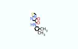 Cc1ccc(NC(=O)c2cnc3sccn3c2=O)cc1C